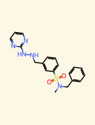 CN(Cc1ccccc1)S(=O)(=O)c1cccc(CNNc2ncccn2)c1